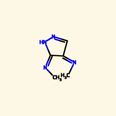 C/N=C1/C=NN/C1=N/C